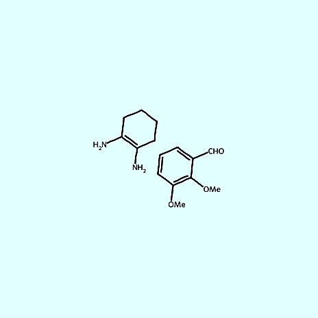 COc1cccc(C=O)c1OC.NC1=C(N)CCCC1